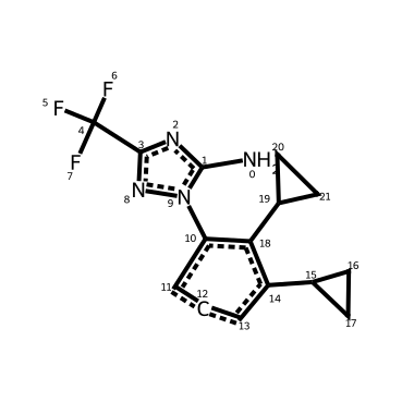 Nc1nc(C(F)(F)F)nn1-c1cccc(C2CC2)c1C1CC1